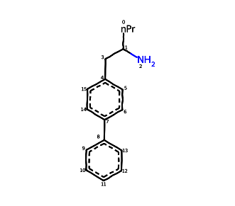 CCCC(N)Cc1ccc(-c2ccccc2)cc1